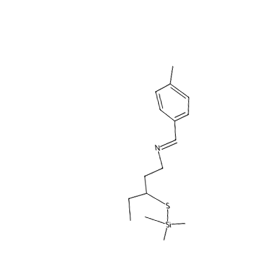 CCC(CCN=Cc1ccc(C)cc1)S[Si](C)(C)C